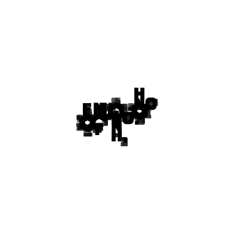 NC1=C(/C=C(\N)c2c(F)cccc2F)CCCC1Oc1ccc(=O)[nH]c1